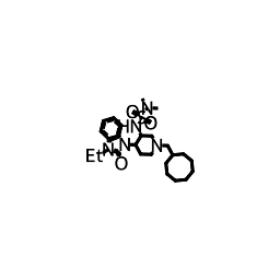 CCn1c(=O)n(C2CCN(CC3CCCCCCC3)CC2NS(=O)(=O)N(C)C)c2ccccc21